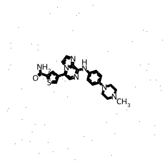 CN1CCN(c2ccc(Nc3ncc(-c4csc(C(N)=O)c4)n4ccnc34)cc2)CC1